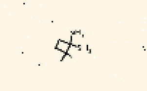 CC1(C)CCC1([SiH3])[SiH3]